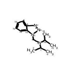 CC(C)N(Cn1nnc2ccccc21)C(C)C